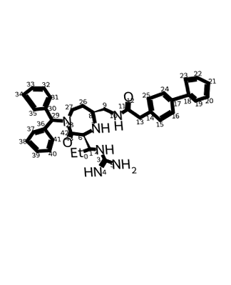 CCC(NC(=N)N)[C@@H]1N[C@H](CNC(=O)Cc2ccc(-c3ccccc3)cc2)CCN(C(c2ccccc2)c2ccccc2)C1=O